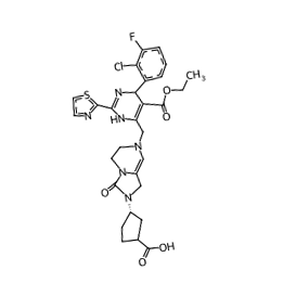 CCOC(=O)C1=C(CN2C=C3CN([C@H]4CCC(C(=O)O)C4)C(=O)N3CC2)NC(c2nccs2)=NC1c1cccc(F)c1Cl